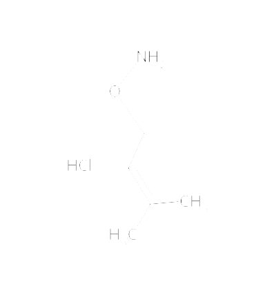 CC(C)=CCON.Cl